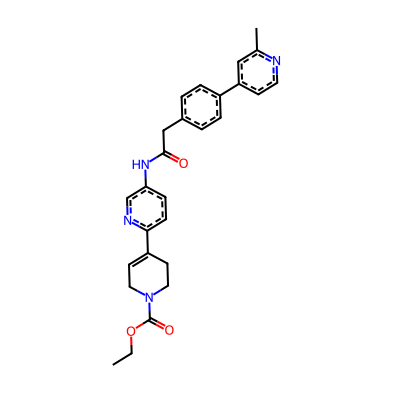 CCOC(=O)N1CC=C(c2ccc(NC(=O)Cc3ccc(-c4ccnc(C)c4)cc3)cn2)CC1